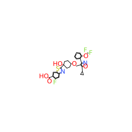 O=C(O)c1cc2sc(C3(O)CCC(OCc4c(-c5ccccc5OC(F)F)noc4C4CC4)CC3)nc2cc1F